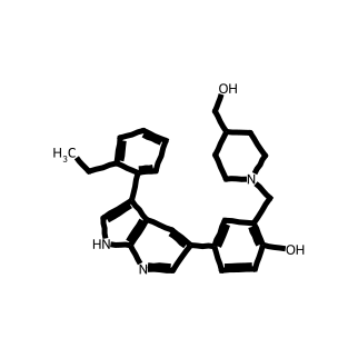 CCc1ccccc1-c1c[nH]c2ncc(-c3ccc(O)c(CN4CCC(CO)CC4)c3)cc12